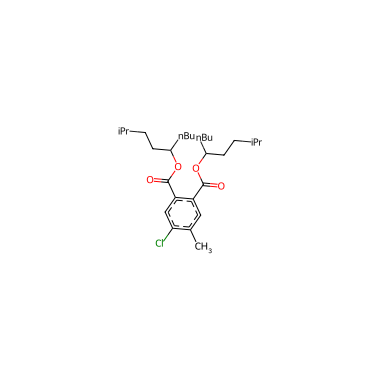 CCCCC(CCC(C)C)OC(=O)c1cc(C)c(Cl)cc1C(=O)OC(CCCC)CCC(C)C